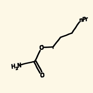 CCCCC[CH]OC(N)=O